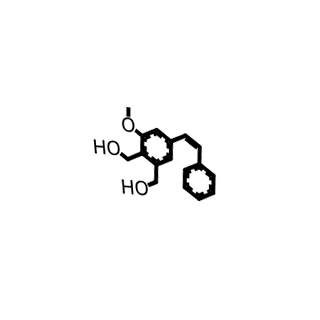 COc1cc(/C=C\c2ccccc2)cc(CO)c1CO